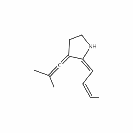 C/C=C\C=C1\NCCC1=C=C(C)C